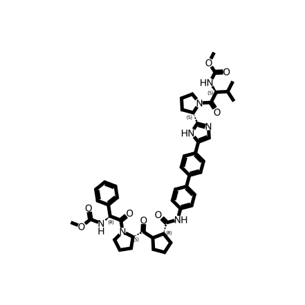 COC(=O)N[C@H](C(=O)N1CCC[C@H]1c1ncc(-c2ccc(-c3ccc(NC(=O)[C@@H]4CCCC4C(=O)[C@@H]4CCCN4C(=O)[C@H](NC(=O)OC)c4ccccc4)cc3)cc2)[nH]1)C(C)C